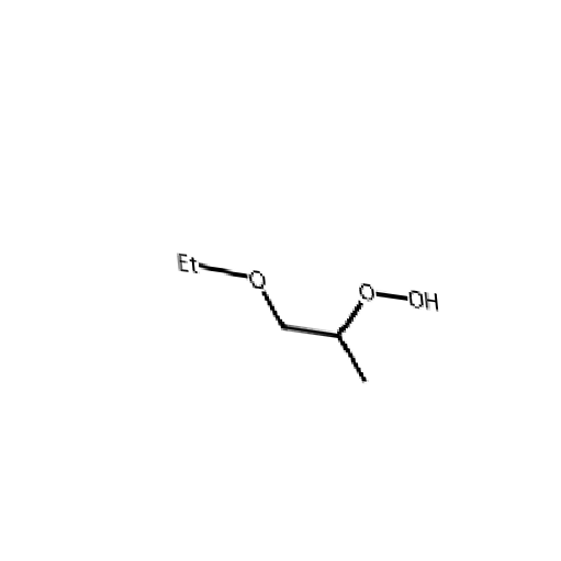 CCOCC(C)OO